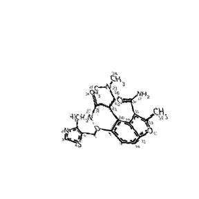 Cc1ncsc1COc1ccc2oc(C)c(C(N)=O)c2c1C(CN(C)C)C(N)=O